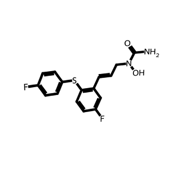 NC(=O)N(O)CC=Cc1cc(F)ccc1Sc1ccc(F)cc1